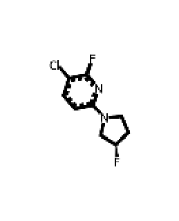 Fc1nc(N2CC[C@@H](F)C2)ccc1Cl